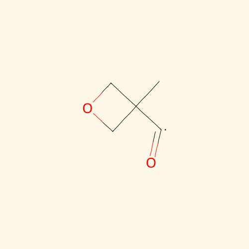 CC1([C]=O)COC1